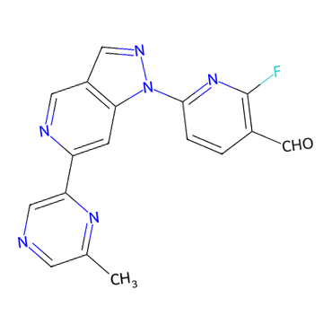 Cc1cncc(-c2cc3c(cn2)cnn3-c2ccc(C=O)c(F)n2)n1